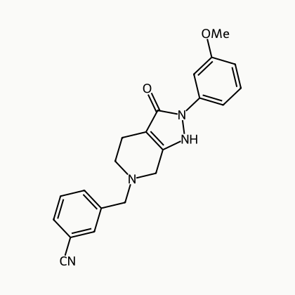 COc1cccc(-n2[nH]c3c(c2=O)CCN(Cc2cccc(C#N)c2)C3)c1